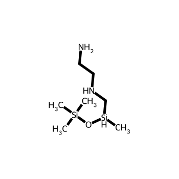 C[SiH](CNCCN)O[Si](C)(C)C